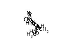 C=CC(=O)Nc1cc2cnc(Nc3ccc(OCc4cccnc4)c(Cl)c3)nc2cc1OCCNC(C)=O